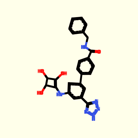 O=C(NCc1ccccc1)c1ccc(-c2cc(NC3=C(O)C(O)C3O)cc(-c3nn[nH]n3)c2)cc1